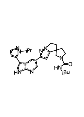 CC(C)n1nccc1-c1c[nH]c2ncc(-c3cc4n(n3)CCC43CCN(C(=O)NC(C)(C)C)C3)cc12